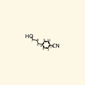 N#Cc1ccc(CCCO)cc1